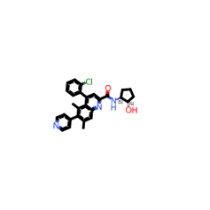 Cc1cc2nc(C(=O)N[C@H]3CCC[C@@H]3O)cc(-c3ccccc3Cl)c2c(C)c1-c1ccncc1